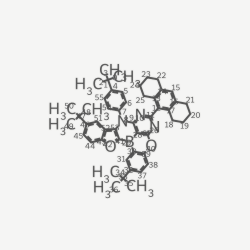 CC(C)(C)c1ccc(N2c3nc(-c4c5c(cc6c4CCCC6)CCCC5)nc4c3B(c3cc(C(C)(C)C)ccc3O4)c3oc4ccc(C(C)(C)C)cc4c32)cc1